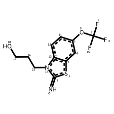 N=c1sc2cc(OC(F)(F)F)ccc2n1CCCO